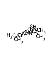 CCc1cc(NC(=O)N2CCN(c3ccc(C(C)C)cc3)CC2)c(OC)nc1C